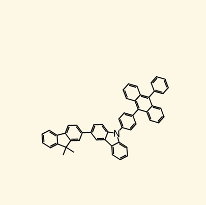 CC1(C)c2ccccc2-c2ccc(-c3ccc4c(c3)c3ccccc3n4-c3ccc(-c4c5ccccc5c(-c5ccccc5)c5ccccc45)cc3)cc21